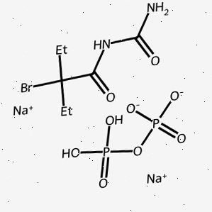 CCC(Br)(CC)C(=O)NC(N)=O.O=P([O-])([O-])OP(=O)(O)O.[Na+].[Na+]